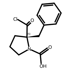 O=C(O)N1CCC[C@]1(Cc1ccccc1)C(=O)Cl